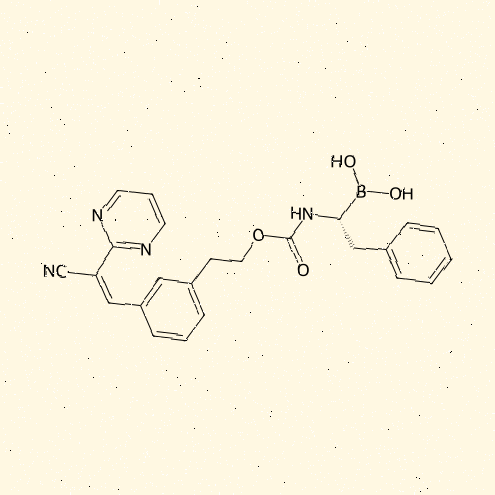 N#CC(=Cc1cccc(CCOC(=O)N[C@@H](Cc2ccccc2)B(O)O)c1)c1ncccn1